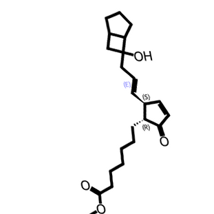 COC(=O)CCCCCC[C@H]1C(=O)C=C[C@@H]1/C=C/CC1(O)CC2CCCC21